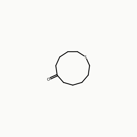 O=C1CCCCCSCCCC1